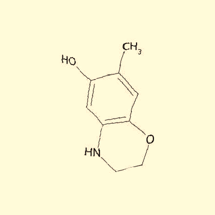 Cc1cc2c(cc1O)NCCO2